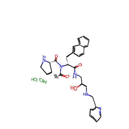 CC(C)(C)C(=O)N(C(=O)[C@@H]1CCCN1)[C@H](Cc1ccc2ccccc2c1)C(=O)NCC(O)CNCc1ccccn1.Cl.Cl